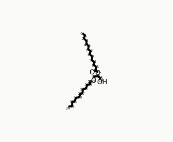 CCCCCCCCCCCCCCC(=O)OC(CO)COCCCCCCCCCCCCC